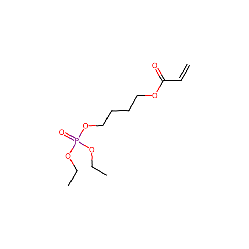 C=CC(=O)OCCCCOP(=O)(OCC)OCC